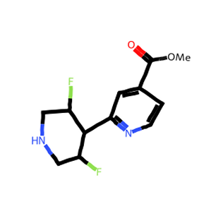 COC(=O)c1ccnc(C2C(F)CNCC2F)c1